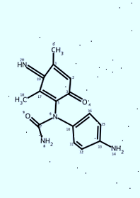 CC1=CC(=O)C(N(C(N)=O)c2ccc(N)cc2)=C(C)C1=N